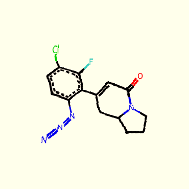 [N-]=[N+]=Nc1ccc(Cl)c(F)c1C1=CC(=O)N2CCCC2C1